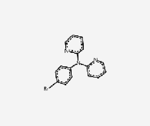 Brc1ccc(N(c2ccccn2)c2ccccn2)cc1